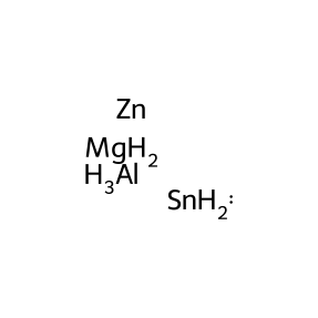 [AlH3].[MgH2].[SnH2].[Zn]